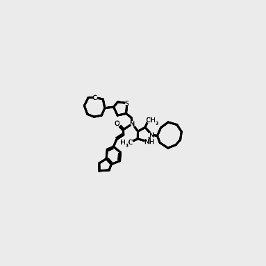 CC1NN(C2CCCCCCCC2)C(C)C1N(CC1CC(C2CCCCCCC2)CS1)C(=O)/C=C/c1ccc2c(c1)CCC2